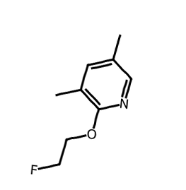 Cc1cnc(OCCF)c(C)c1